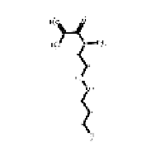 C=C(C)C(=O)N(C)CCOOCCCCl